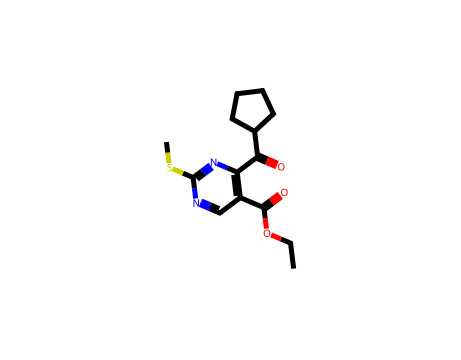 CCOC(=O)c1cnc(SC)nc1C(=O)C1CCCC1